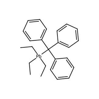 C[CH2][Pb]([CH2]C)([CH2]C)[C](c1ccccc1)(c1ccccc1)c1ccccc1